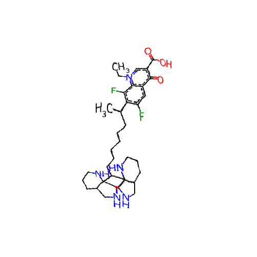 CCn1cc(C(=O)O)c(=O)c2cc(F)c(C(C)CCCCCCC(C34CNCC3CCCN4)C34CNCC3CCCN4)c(F)c21